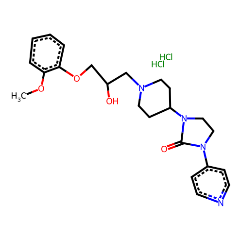 COc1ccccc1OCC(O)CN1CCC(N2CCN(c3ccncc3)C2=O)CC1.Cl.Cl